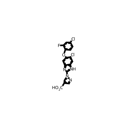 O=C(O)c1cnn(-c2nc3cc(Oc4ccc(Cl)cc4F)c(Cl)cc3[nH]2)c1